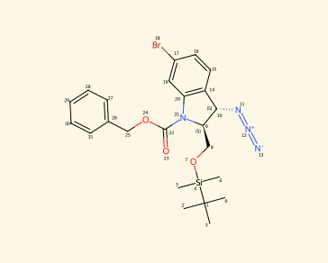 CC(C)(C)[Si](C)(C)OC[C@@H]1[C@@H](N=[N+]=[N-])c2ccc(Br)cc2N1C(=O)OCc1ccccc1